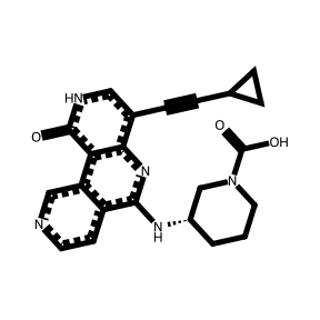 O=C(O)N1CCC[C@H](Nc2nc3c(C#CC4CC4)c[nH]c(=O)c3c3cnccc23)C1